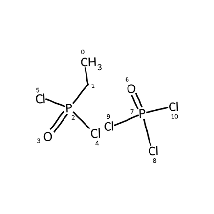 CCP(=O)(Cl)Cl.O=P(Cl)(Cl)Cl